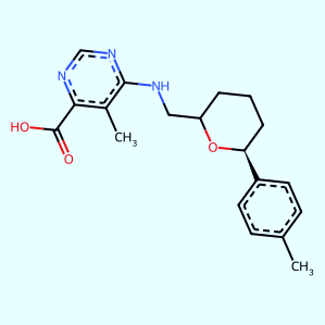 Cc1ccc([C@@H]2CCCC(CNc3ncnc(C(=O)O)c3C)O2)cc1